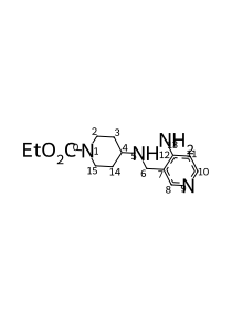 CCOC(=O)N1CCC(NCc2cnccc2N)CC1